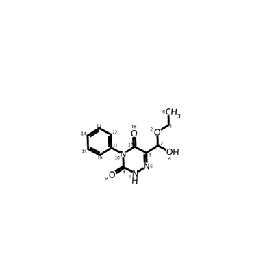 CCOC(O)c1n[nH]c(=O)n(-c2ccccc2)c1=O